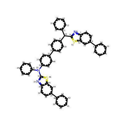 c1ccc(-c2ccc3nc(C(c4ccccc4)c4ccc(-c5ccc(N(c6ccccc6)c6nc7ccc(-c8ccccc8)cc7s6)cc5)cc4)sc3c2)cc1